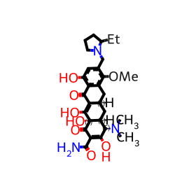 CCC1CCCN1Cc1cc(O)c2c(c1OC)C[C@H]1C[C@H]3[C@H](N(C)C)C(O)=C(C(N)=O)C(=O)[C@@]3(O)C(O)=C1C2=O